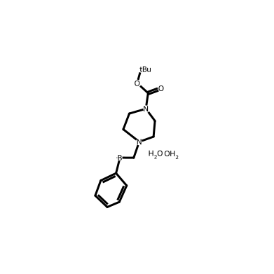 CC(C)(C)OC(=O)N1CCN(C[B]c2ccccc2)CC1.O.O